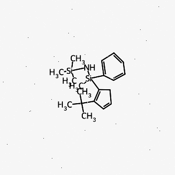 CC(C)(C)C1=C([Si](C)(N[Si](C)(C)C)c2ccccc2)CC=C1